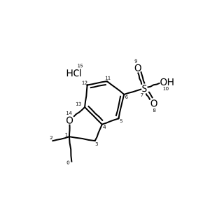 CC1(C)Cc2cc(S(=O)(=O)O)ccc2O1.Cl